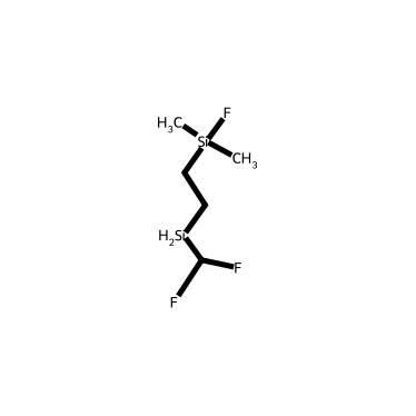 C[Si](C)(F)CC[SiH2]C(F)F